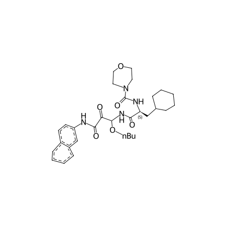 CCCCOC(NC(=O)[C@H](CC1CCCCC1)NC(=O)N1CCOCC1)C(=O)C(=O)Nc1ccc2ccccc2c1